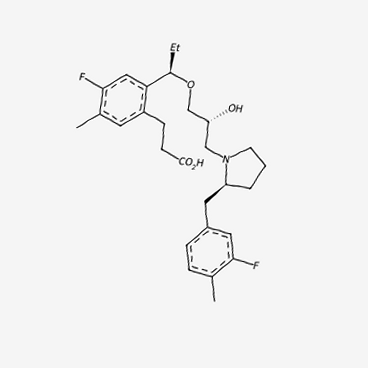 CC[C@@H](OC[C@H](O)CN1CCC[C@H]1Cc1ccc(C)c(F)c1)c1cc(F)c(C)cc1CCC(=O)O